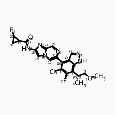 COC[C@H](C)c1c(F)c(Cl)c(-c2cn3cc(NC(=O)C4CC4F)nc3cn2)c2cn[nH]c12